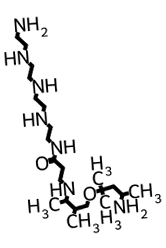 CC(N)CC(C)(C)OCC(C)C(C)NCCC(=O)NCCNCCNCCNCCN